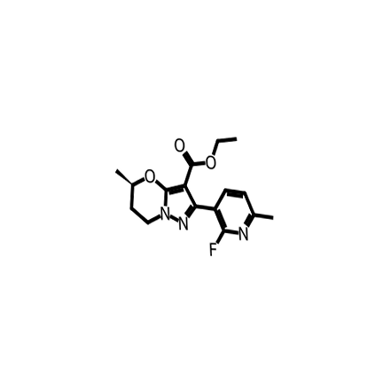 CCOC(=O)c1c(-c2ccc(C)nc2F)nn2c1O[C@H](C)CC2